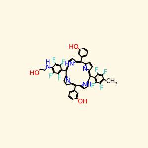 Cc1c(F)c(F)c(-c2c3nc(c(-c4cccc(O)c4)c4ccc([nH]4)c(-c4c(F)c(F)c(NCCO)c(F)c4F)c4nc(c(-c5cccc(O)c5)c5ccc2[nH]5)CC4)C=C3)c(F)c1F